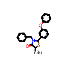 CCCCC1SC(c2cccc(Oc3ccccc3)c2)N(Cc2ccccc2)C1=O